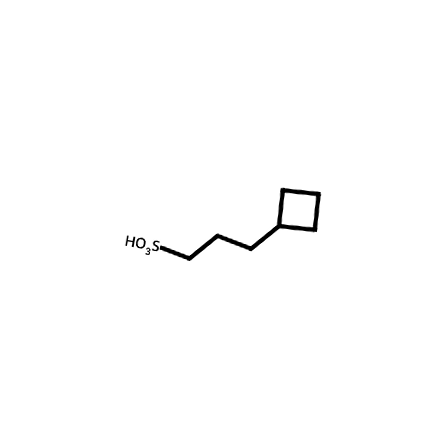 O=S(=O)(O)CCCC1CCC1